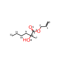 C=CCOC(=O)C(C)(O)CCCC